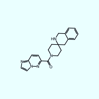 O=C(c1ccc2nccn2n1)N1CCC2(CC1)Cc1ccccc1CN2